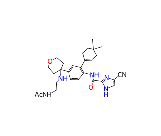 CC(=O)NCCNC1(c2ccc(NC(=O)c3nc(C#N)c[nH]3)c(C3=CCC(C)(C)CC3)c2)CCOCC1